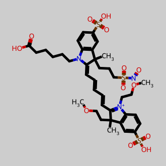 COCC[N+]1=C(/C=C/C=C/C=C2/N(CCCCCC(=O)O)c3ccc(S(=O)(=O)O)cc3C2(C)CCCS(=O)(=O)N=O)C(C)(CCOC)c2cc(S(=O)(=O)O)ccc21